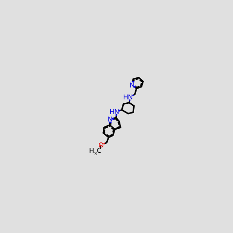 COCc1ccc2nc(NC3CCCC(NCc4ccccn4)C3)ccc2c1